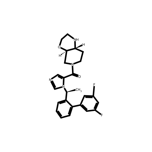 C[C@@H](c1ccccc1-c1cc(F)cc(F)c1)n1cncc1C(=O)N1CC[C@H]2NCCO[C@@H]2C1